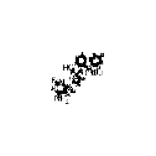 C#C[C@@]1(CO[Si](c2ccccc2)(c2ccccc2)C(C)(C)C)C=C[C@H](n2cnc3c(N)nc(F)nc32)O1